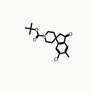 Cc1cc2c(cc1Cl)C1(CCN(C(=O)OC(C)(C)C)CC1)CC2=O